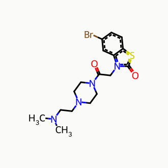 CN(C)CCN1CCN(C(=O)Cn2c(=O)sc3ccc(Br)cc32)CC1